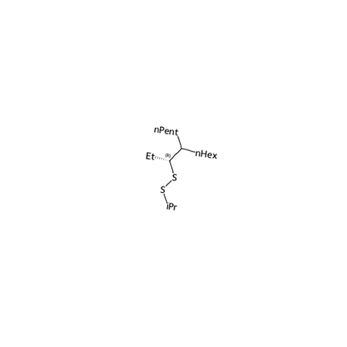 CCCCCCC(CCCCC)[C@@H](CC)SSC(C)C